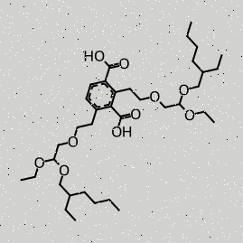 CCCCC(CC)COC(COCCc1ccc(C(=O)O)c(CCOCC(OCC)OCC(CC)CCCC)c1C(=O)O)OCC